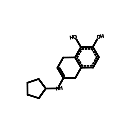 Oc1ccc2c(c1O)CC=C(NC1CCCC1)C2